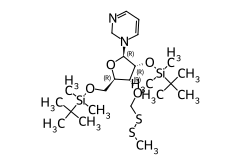 CSSCO[C@H]1[C@@H](O[Si](C)(C)C(C)(C)C)[C@H](N2C=CC=NC2)O[C@@H]1CO[Si](C)(C)C(C)(C)C